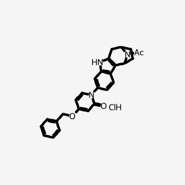 CC(=O)N1C2CCC1c1c([nH]c3cc(-n4ccc(OCc5ccccc5)cc4=O)ccc13)C2.Cl